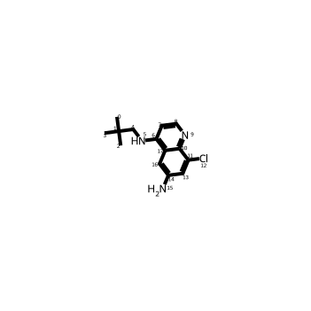 CC(C)(C)CNc1ccnc2c(Cl)cc(N)cc12